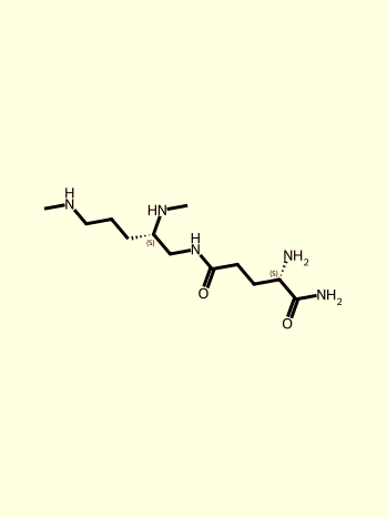 CNCCC[C@@H](CNC(=O)CC[C@H](N)C(N)=O)NC